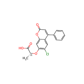 C[C@@H](Oc1cc2oc(=O)cc(-c3ccccc3)c2cc1Cl)C(=O)O